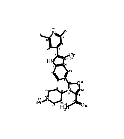 Cc1cc(-c2[nH]c3ccc(C4OC=C(C(N)=O)N4C4CCN(C(C)C)CC4)cc3c2C(C)C)cc(C)n1